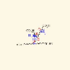 CCCCCCCCCCCCCCCCCCN(CCCCCCCCCCCCCCCCCC)C(=O)CNC(=O)[C@H](CCCCNC(=O)[C@@H](N)CCC(=O)O)NC(=O)[C@@H](N)CCC(=O)O